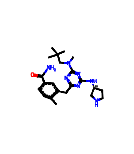 Cc1ccc(C(N)=O)cc1Cc1nc(N[C@@H]2CCNC2)nc(N(C)CC(C)(C)C)n1